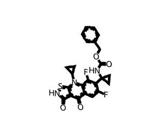 O=C(NC1(c2c(F)cc3c(=O)c4c(=O)[nH]sc4n(C4CC4)c3c2F)CC1)OCc1ccccc1